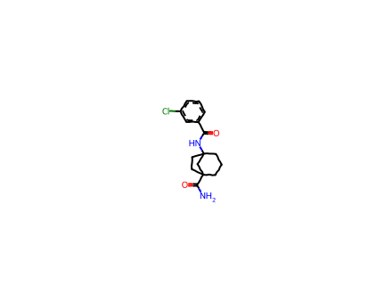 NC(=O)C12CCCC(NC(=O)c3cccc(Cl)c3)(CC1)C2